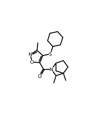 Cc1noc(C(=O)N2C3CCC(C)(C3)C2C)c1SC1CCCCC1